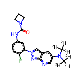 [2H]C([2H])([2H])N(c1cnc2nn(-c3cc(NC(=O)N4CCC4)ccc3F)cc2c1)C([2H])([2H])[2H]